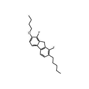 CCCCCc1ccc2c(c1F)Cc1c-2ccc(OCCCC)c1F